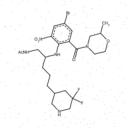 CC(=O)NCC(CCCC1CNCC(F)(F)C1)Nc1c(C(=O)N2CCOC(C)C2)cc(Br)cc1[N+](=O)[O-]